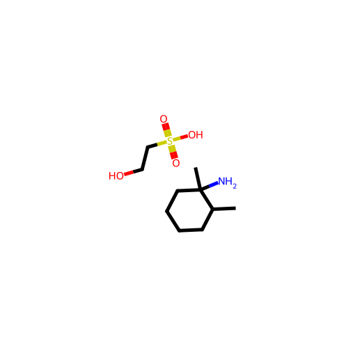 CC1CCCCC1(C)N.O=S(=O)(O)CCO